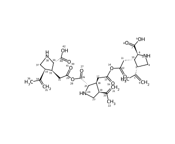 C=C(C)[C@H]1CN[C@H](C(=O)O)[C@H]1CC(=O)OC(=O)C[C@H]1[C@@H](C(=C)C)CN[C@@H]1C(=O)OC(=O)C[C@H]1[C@@H](C(=C)C)CN[C@@H]1C(=O)O